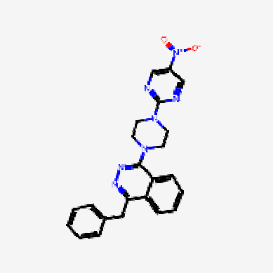 O=[N+]([O-])c1cnc(N2CCN(c3nnc(Cc4ccccc4)c4ccccc34)CC2)nc1